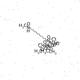 COc1ccccc1NC(=O)C(c1nc2c([N+](=O)[O-])cccc2c(=O)n1CCCCCCCCCCCCNC(C)=O)N1C(=O)OC(C)(C)C1=O